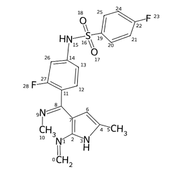 C=Nc1[nH]c(C)cc1/C(=N\C)c1ccc(NS(=O)(=O)c2ccc(F)cc2)cc1F